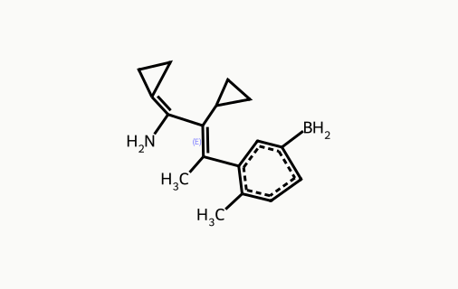 Bc1ccc(C)c(/C(C)=C(/C(N)=C2CC2)C2CC2)c1